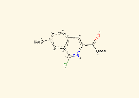 COC(=O)c1cc2ccc(OC)cc2c(Cl)n1